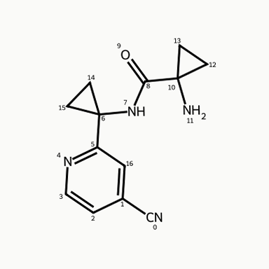 N#Cc1ccnc(C2(NC(=O)C3(N)CC3)CC2)c1